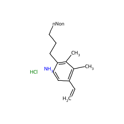 C=Cc1ccc(CCCCCCCCCCCC)c(C)c1C.Cl.N